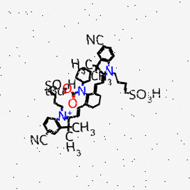 CC(C)(C)OC(=O)N(C1=C(/C=C/C2=[N+](CCCCS(=O)(=O)O)c3ccc(C#N)cc3C2(C)C)CCC/C1=C\C=C1\N(CCCCS(=O)(=O)O)c2ccc(C#N)cc2C1(C)C)C1CCCCC1